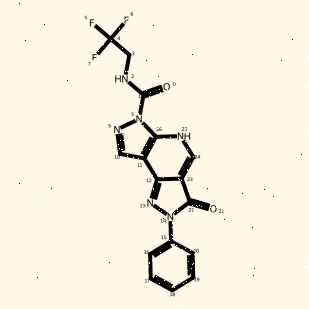 O=C(NCC(F)(F)F)n1ncc2c3nn(-c4ccccc4)c(=O)c-3c[nH]c21